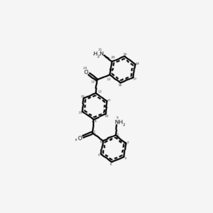 Nc1ccccc1C(=O)c1ccc(C(=O)c2ccccc2N)cc1